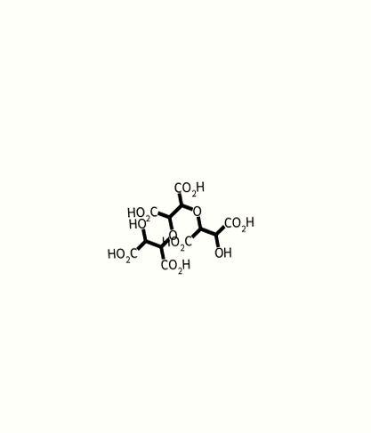 O=C(O)C(O)C(OC(C(=O)O)C(OC(C(=O)O)C(O)C(=O)O)C(=O)O)C(=O)O